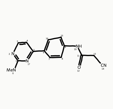 CNc1nccc(-c2ccc(NC(=O)CC#N)cc2)n1